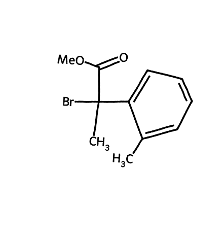 COC(=O)C(C)(Br)c1ccccc1C